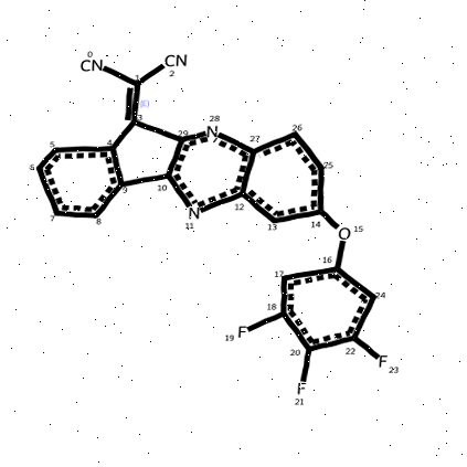 [C-]#[N+]/C(C#N)=C1\c2ccccc2-c2nc3cc(Oc4cc(F)c(F)c(F)c4)ccc3nc21